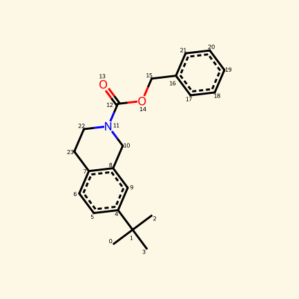 CC(C)(C)c1ccc2c(c1)CN(C(=O)OCc1ccccc1)CC2